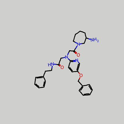 NC1CCCCN(C(=O)CN(CC(=O)NCCc2ccccc2)c2ccc(OCc3ccccc3)cn2)C1